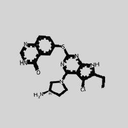 CCc1[nH]c2nc(Sc3ccc4nc[nH]c(=O)c4c3)nc(N3CC[C@@H](N)C3)c2c1Cl